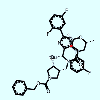 C[C@@H]1CN(C(=O)N(C[C@@H]2CN(C(=O)OCc3ccccc3)C[C@@H]2F)[C@@H](c2nc(-c3cc(F)ccc3F)nn2Cc2cccc(F)c2)C(C)(C)C)C[C@H](C)O1